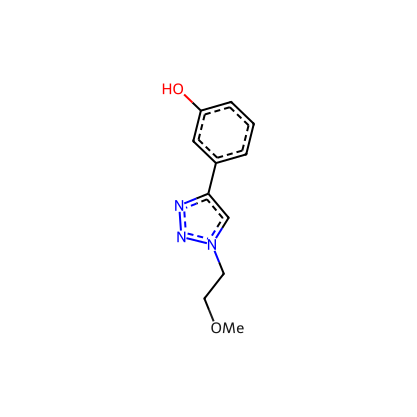 COCCn1cc(-c2cccc(O)c2)nn1